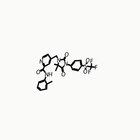 Cc1ccccc1NC(=O)c1cc(CN2C(=O)N(c3ccc(S(=O)(=O)C(F)(F)F)cc3)C(=O)C2(C)C)ccn1